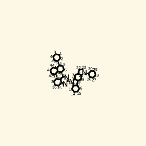 c1ccc(-c2ccc(-c3nc(-n4c5ccccc5c5cc6c(ccn6-c6ccccc6)cc54)nc4ccccc34)c3ccccc23)cc1